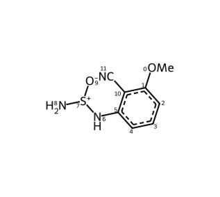 COc1cccc(N[S+](N)[O-])c1C#N